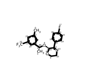 Cc1cc([C@@H](C)O[C@@H]2OCCN=C2c2ccc(F)cc2)cc(C(F)(F)F)c1